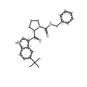 CC(C)(C)c1ccc2[nH]cc(C(=O)C3CCCN3C(=O)OCc3ccccc3)c2c1